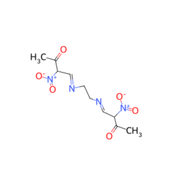 CC(=O)C(C=NCCN=CC(C(C)=O)[N+](=O)[O-])[N+](=O)[O-]